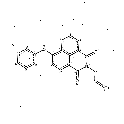 C=CCN1C(=O)c2cccc3c(Oc4ccccc4)ccc(c23)C1=O